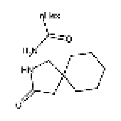 CCCCCCC(N)=O.O=C1CC2(CCCCC2)CN1